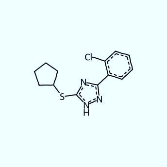 Clc1ccccc1-c1n[nH]c(SC2CCCC2)n1